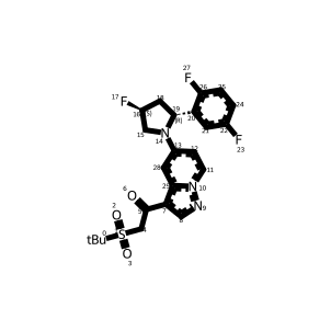 CC(C)(C)S(=O)(=O)CC(=O)c1cnn2ccc(N3C[C@@H](F)C[C@@H]3c3cc(F)ccc3F)cc12